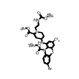 CC(C)(C)OC(=O)NCCN1CCC(Nc2cc(C(F)(F)F)cc3c2N(C(=O)OC(C)(C)C)c2ccc(Br)cc2S3)CC1C(=O)OC(C)(C)C